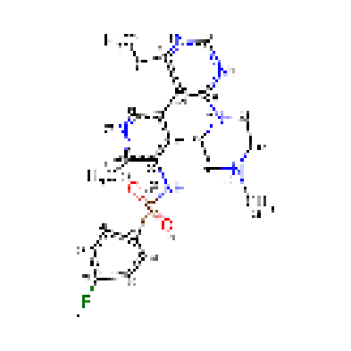 CCc1ncnc(N2CCN(C)CC2)c1-c1cnc(C)c(NS(=O)(=O)c2ccc(F)cc2)c1